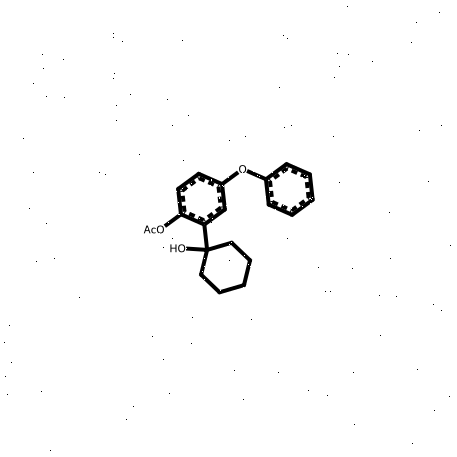 CC(=O)Oc1ccc(Oc2ccccc2)cc1C1(O)CCCCC1